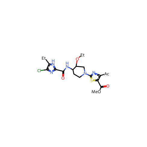 CCOC1CN(c2nc(C(C)=O)c(C(=O)OC)s2)CCC1NC(=O)c1nc(Cl)c(CC)[nH]1